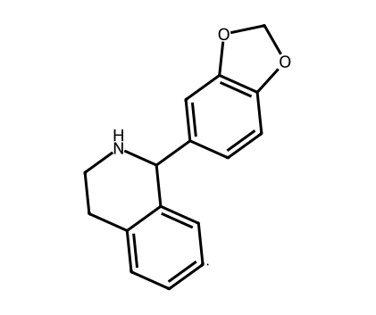 [c]1ccc2c(c1)C(c1ccc3c(c1)OCO3)NCC2